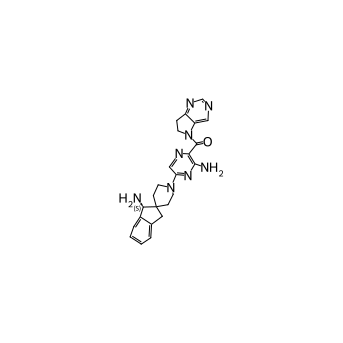 Nc1nc(N2CCC3(CC2)Cc2ccccc2[C@H]3N)cnc1C(=O)N1CCc2ncncc21